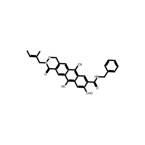 C/C=C(\C)CN1OCc2cc3c(C#N)c4cc(C(=O)NCc5ccccc5)c(C=O)cc4c(C#N)c3cc2C1=O